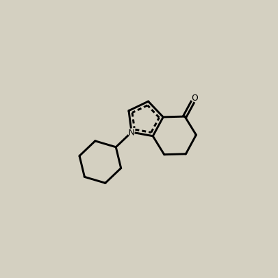 O=C1CCCc2c1ccn2C1CCCCC1